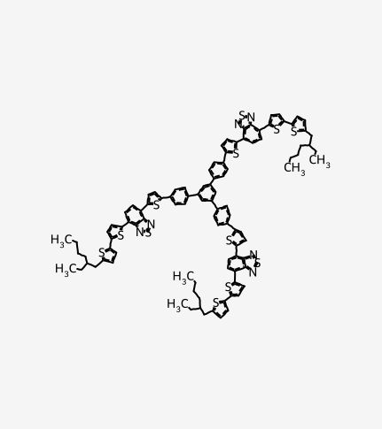 CCCCC(CC)Cc1ccc(-c2ccc(-c3ccc(-c4ccc(-c5ccc(-c6cc(-c7ccc(-c8ccc(-c9ccc(-c%10ccc(-c%11ccc(CC(CC)CCCC)s%11)s%10)c%10nsnc9%10)s8)cc7)cc(-c7ccc(-c8ccc(-c9ccc(-c%10ccc(-c%11ccc(CC(CC)CCCC)s%11)s%10)c%10nsnc9%10)s8)cc7)c6)cc5)s4)c4nsnc34)s2)s1